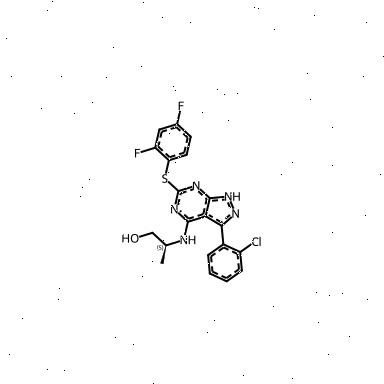 C[C@@H](CO)Nc1nc(Sc2ccc(F)cc2F)nc2[nH]nc(-c3ccccc3Cl)c12